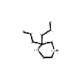 CCCC1(CCC)CNCCO1